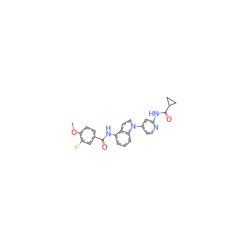 COc1ccc(C(=O)Nc2cccc3c2ccn3-c2ccnc(NC(=O)C3CC3)c2)cc1F